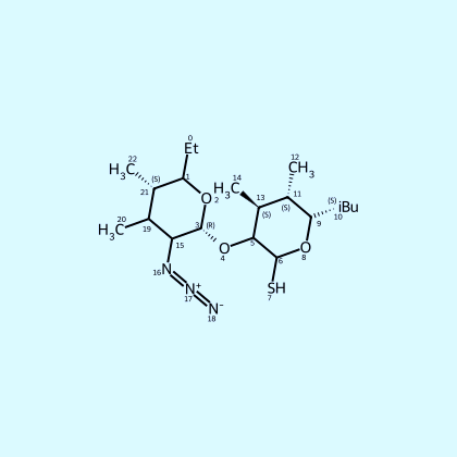 CCC1O[C@H](OC2C(S)OC([C@@H](C)CC)[C@@H](C)[C@@H]2C)C(N=[N+]=[N-])C(C)[C@@H]1C